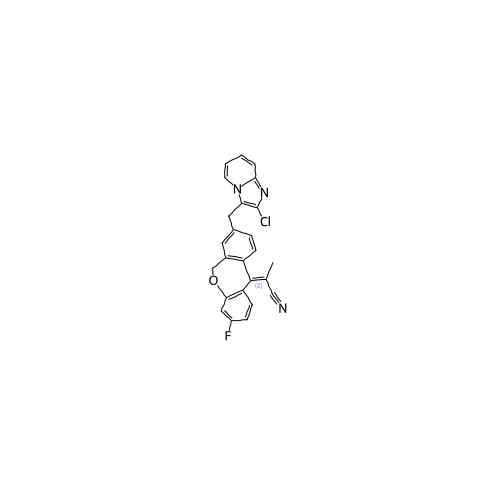 C/C(C#N)=C1\c2ccc(Cc3c(Cl)nc4ccccn34)cc2COc2cc(F)ccc21